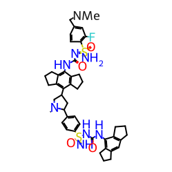 CNCc1ccc(S(N)(=O)=NC(=O)Nc2c3c(c(C4CC(c5ccc(S(=N)(=O)NC(=O)Nc6c7c(cc8c6CCC8)CCC7)cc5)N(C)C4)c4c2CCC4)CCC3)c(F)c1